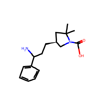 CC1(C)C[C@H](CCC(N)c2ccccc2)CN1C(=O)O